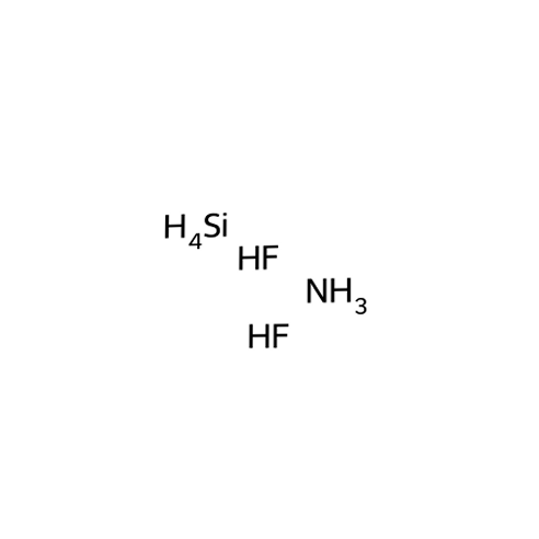 F.F.N.[SiH4]